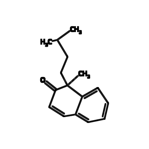 CC(C)CCC1(C)C(=O)C=Cc2ccccc21